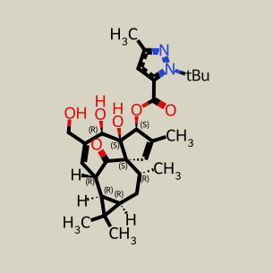 CC1=C[C@]23C(=O)[C@@H](C=C(CO)[C@@H](O)[C@]2(O)[C@H]1OC(=O)c1cc(C)nn1C(C)(C)C)[C@H]1[C@@H](C[C@H]3C)C1(C)C